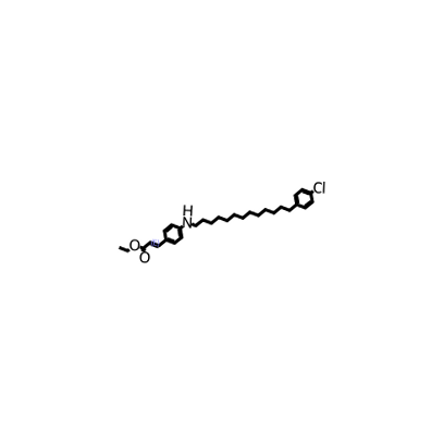 CCOC(=O)/C=C/c1ccc(NCCCCCCCCCCCCCc2ccc(Cl)cc2)cc1